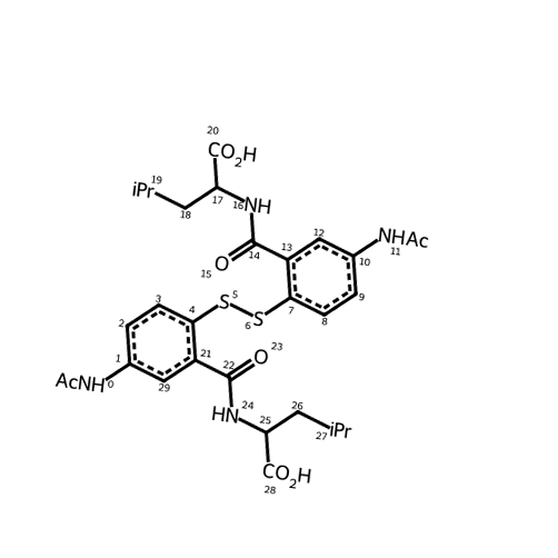 CC(=O)Nc1ccc(SSc2ccc(NC(C)=O)cc2C(=O)NC(CC(C)C)C(=O)O)c(C(=O)NC(CC(C)C)C(=O)O)c1